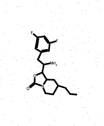 CCCC1CCN2C(=O)OC(C(N)Cc3cc(F)cc(F)c3)C2C1